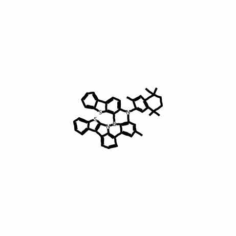 Cc1cc2c3c(c1)N(c1cc4c(cc1C)C(C)(C)CCC4(C)C)c1ccc4c(sc5ccccc54)c1B3n1c3sc4ccccc4c3c3cccc-2c31